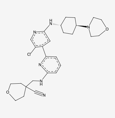 N#CC1(CNc2cccc(-c3cc(N[C@H]4CC[C@H](N5CCOCC5)CC4)ncc3Cl)n2)CCOCC1